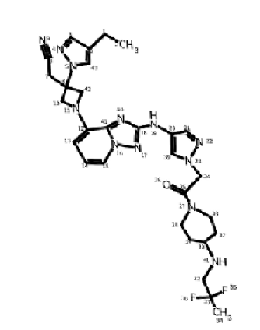 CCc1cnn(C2(CC#N)CN(c3cccn4nc(Nc5cnn(CC(=O)N6CCC(NCC(C)(F)F)CC6)c5)nc34)C2)c1